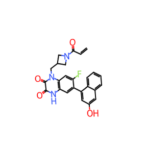 C=CC(=O)N1CC(Cn2c(=O)c(=O)[nH]c3cc(-c4cc(O)cc5ccccc45)c(F)cc32)C1